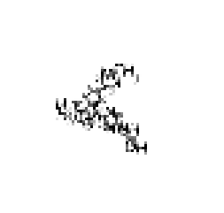 Cc1ncc(-c2ccc3c(c2)N(c2cnc(NCCO)cn2)C(=O)C3(C)C)cn1